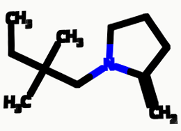 C=C1CCCN1CC(C)(C)CC